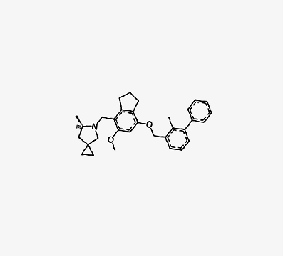 COc1cc(OCc2cccc(-c3ccccc3)c2C)c2c(c1CN1CC3(CC3)C[C@H]1C)CCC2